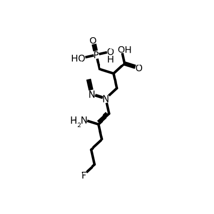 C=NN(/C=C(\N)CCCF)CC(CP(=O)(O)O)C(=O)O